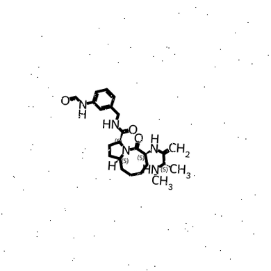 C=C(N[C@H]1CCCC[C@H]2CC[C@@H](C(=O)NCc3cccc(NC=O)c3)N2C1=O)[C@H](C)NC